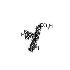 O=C(O)CN1CCC(N2CCN(C(=O)C(Cc3cc(Br)c(O)c(Br)c3)OC(=O)N3CCC(N4CCc5ccccc5NC4=O)CC3)CC2)CC1